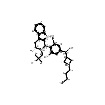 C[C@@H]1Cc2c([nH]c3ccccc23)[C@@H](c2c(F)cc([C@@H](F)C3CN(CCCF)C3)cc2F)N1CC(C)(C)F